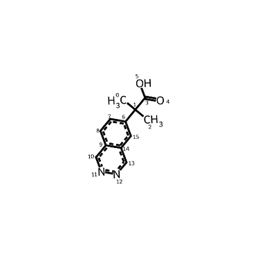 CC(C)(C(=O)O)c1ccc2cnncc2c1